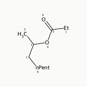 CCCCCCC(C)OC(=O)CC